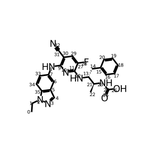 CCn1ncc2cc(Nc3nc(N[C@H](Cc4ccccc4)[C@H](C)NC(=O)O)c(F)cc3C#N)ccc21